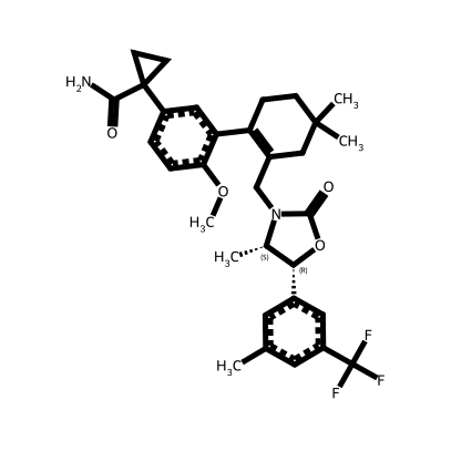 COc1ccc(C2(C(N)=O)CC2)cc1C1=C(CN2C(=O)O[C@H](c3cc(C)cc(C(F)(F)F)c3)[C@@H]2C)CC(C)(C)CC1